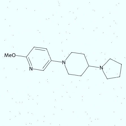 COc1ccc(N2CCC(N3CCCC3)CC2)cn1